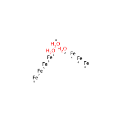 O.O.O.[Fe].[Fe].[Fe].[Fe].[Fe].[Fe].[Fe]